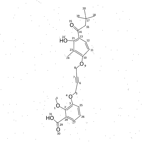 COc1c(OCC#CCOc2ccc(C(=O)CC(C)(C)C)c(O)c2C)cccc1C(=O)O